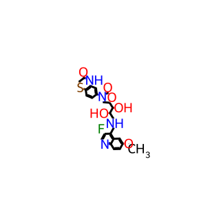 COc1ccc2ncc(F)c(CNC[C@H](O)C(O)C3CN(c4ccc5c(c4)NC(=O)CS5)C(=O)O3)c2c1